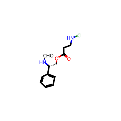 O=CN[C@H](COC(=O)CCNCl)c1ccccc1